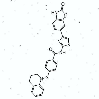 O=C(Nc1nc(-c2ccc3[nH]c(=O)oc3c2)cs1)c1ccc(SN2CCCc3ccccc32)cc1